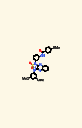 COc1ccc(C(=O)Nc2cccc(N(c3nc4ccccc4nc3Nc3cc(OC)cc(OC)c3)[SH](=O)=O)c2)cc1